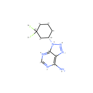 Nc1ncnc2c1nnn2[C@H]1CCCC(F)(F)C1